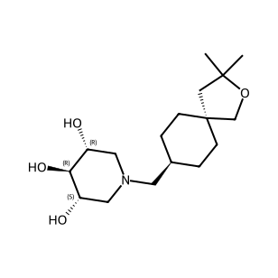 CC1(C)C[C@]2(CC[C@H](CN3C[C@@H](O)[C@H](O)[C@@H](O)C3)CC2)CO1